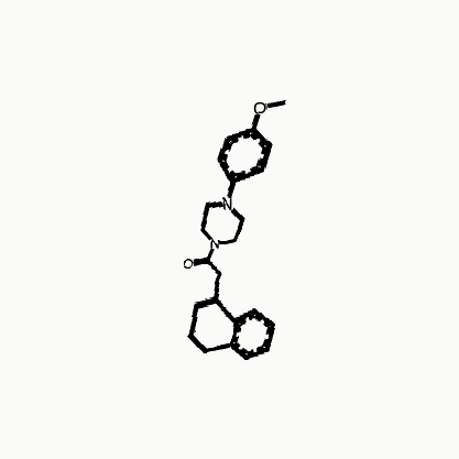 COc1ccc(N2CCN(C(=O)CC3CCCc4ccccc43)CC2)cc1